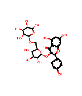 O=c1c(O[C@@H]2OC(CO[C@@H]3OC(O)[C@H](O)C(O)[C@@H]3O)[C@@H](O)C(O)[C@@H]2O)c(-c2ccc(O)cc2)oc2cc(O)cc(O)c12